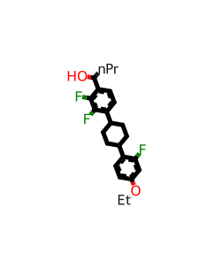 CCCC(O)c1ccc(C2CCC(c3ccc(OCC)cc3F)CC2)c(F)c1F